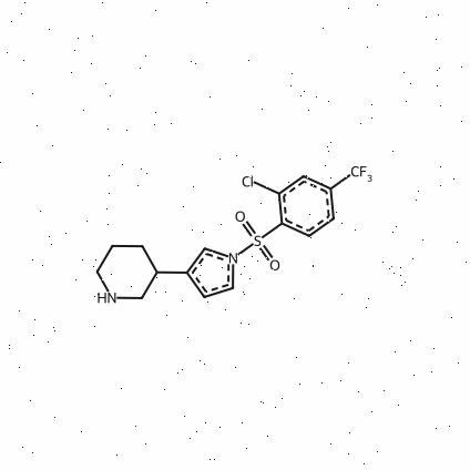 O=S(=O)(c1ccc(C(F)(F)F)cc1Cl)n1ccc(C2CCCNC2)c1